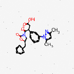 Cc1cc(C)n(-c2cccc(C(CC(=O)O)C(=O)N3CC(Cc4ccccc4)OC3=O)c2)n1